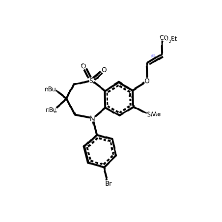 CCCCC1(CCCC)CN(c2ccc(Br)cc2)c2cc(SC)c(O/C=C/C(=O)OCC)cc2S(=O)(=O)C1